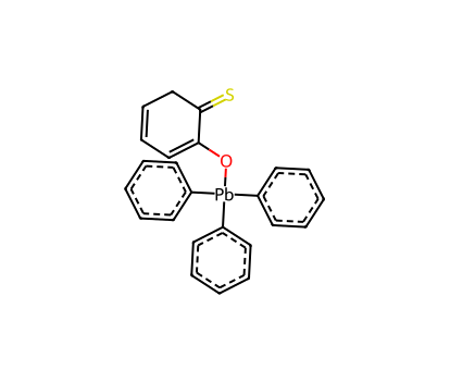 S=C1CC=CC=C1[O][Pb]([c]1ccccc1)([c]1ccccc1)[c]1ccccc1